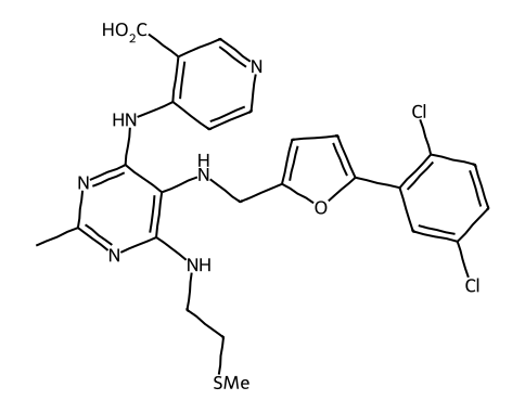 CSCCNc1nc(C)nc(Nc2ccncc2C(=O)O)c1NCc1ccc(-c2cc(Cl)ccc2Cl)o1